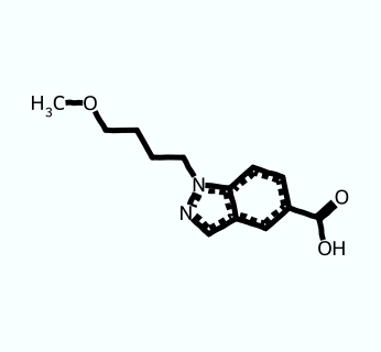 COCCCCn1ncc2cc(C(=O)O)ccc21